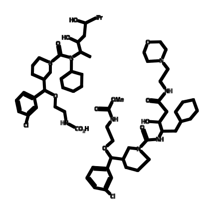 CC(C)C(O)CC(O)C(C)N(C(=O)N1CCCC(C(OCCNC(=O)O)c2cccc(Cl)c2)C1)C1CCCCC1.COC(=O)NCCOC(c1cccc(Cl)c1)C1CCCN(C(=O)NC(CC2CCCCC2)C(O)CC(=O)NCCN2CCOCC2)C1